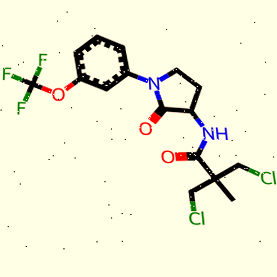 CC(CCl)(CCl)C(=O)NC1CCN(c2cccc(OC(F)(F)F)c2)C1=O